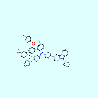 C=Cc1ccc(Oc2ccc(C3(c4ccc(C(C)(C)C)cc4)c4ccccc4-c4ccc(N(c5ccc(C)cc5)c5ccc(-c6ccc7c(c6)c6ccccc6n7-c6ccccc6)cc5)cc43)cc2)cc1